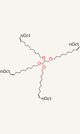 CCCCCCCC/C=C\CCCCCCCCOCC(OCCCCCCCC/C=C\CCCCCCCC)C(OCCCCCCCC/C=C\CCCCCCCC)OCCCCCCCC/C=C\CCCCCCCC